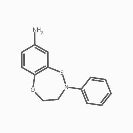 Nc1ccc2c(c1)SN(c1ccccc1)CCO2